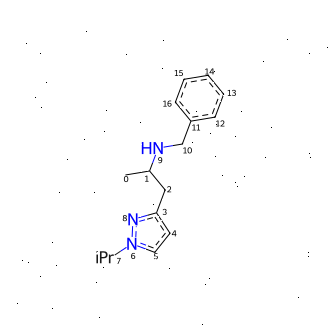 CC(Cc1ccn(C(C)C)n1)NCc1ccccc1